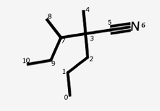 CCCC(C)(C#N)C(C)CC